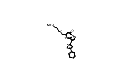 COCCCOCc1cc(=O)n2ncc(-c3cc(-c4ccccc4)cs3)c2[nH]1